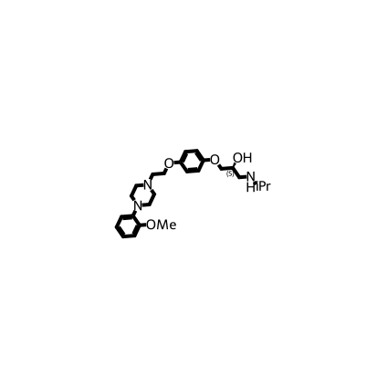 COc1ccccc1N1CCN(CCOc2ccc(OC[C@@H](O)CNC(C)C)cc2)CC1